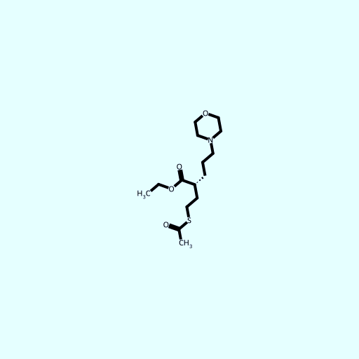 CCOC(=O)[C@H](CCCN1CCOCC1)CCSC(C)=O